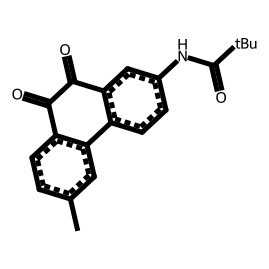 Cc1ccc2c(c1)-c1ccc(NC(=O)C(C)(C)C)cc1C(=O)C2=O